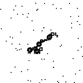 CN1CCN(CCCOc2ccc(-c3cn(-c4cccnc4)c4ncnc(Cl)c34)cc2)CC1